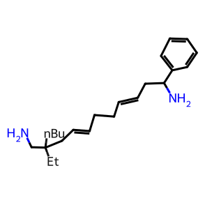 CCCCC(CC)(CN)C/C=C/CC/C=C/CC(N)c1ccccc1